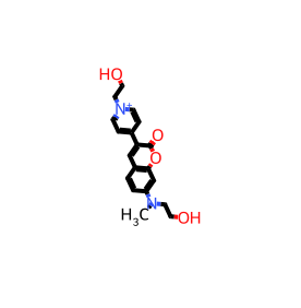 CN(CCO)c1ccc2cc(-c3cc[n+](CCO)cc3)c(=O)oc2c1